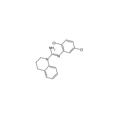 NC(=Nc1cc(Cl)ccc1Cl)N1CCCc2ccccc21